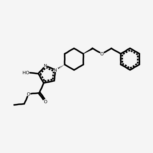 CCOC(=O)c1cn([C@H]2CC[C@H](COCc3ccccc3)CC2)nc1O